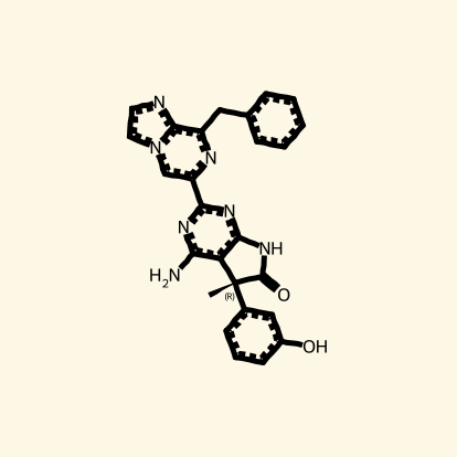 C[C@]1(c2cccc(O)c2)C(=O)Nc2nc(-c3cn4ccnc4c(Cc4ccccc4)n3)nc(N)c21